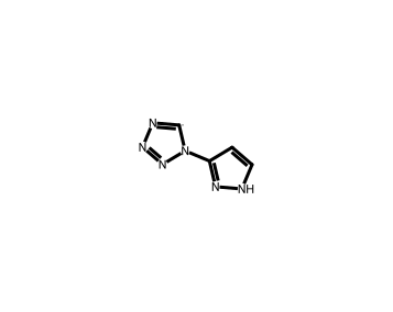 [c]1nnnn1-c1cc[nH]n1